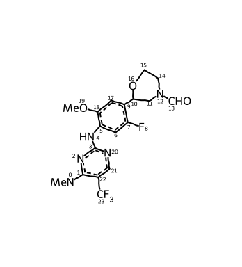 CNc1nc(Nc2cc(F)c(C3CN(C=O)CCO3)cc2OC)ncc1C(F)(F)F